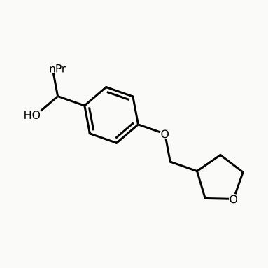 CCCC(O)c1ccc(OCC2CCOC2)cc1